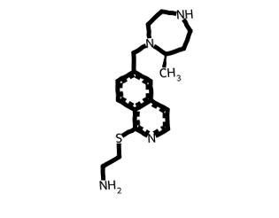 C[C@@H]1CCNCCN1Cc1ccc2c(SCCN)nccc2c1